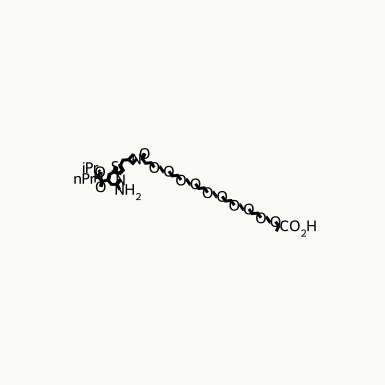 CCCN(OC(C)C)C(=O)C1=Cc2sc(CC3CN(C(=O)CCOCCOCCOCCOCCOCCOCCOCCOCCOCCOC(C)C(=O)O)C3)cc2N=C(N)C1